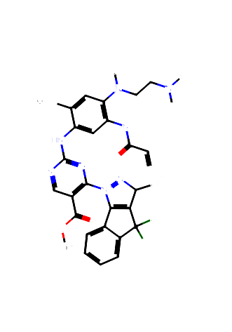 C=CC(=O)Nc1cc(Nc2ncc(C(=O)OC(C)C)c([N+]3=NC(C)C4=C3c3ccccc3C4(F)F)n2)c(OC)cc1N(C)CCN(C)C